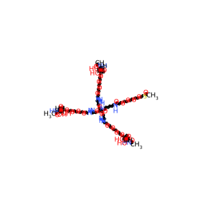 CC(=O)N[C@H]1[C@@H]2OC[C@](COCCOCCOCCOCCn3cc(COCC(COCc4cn(CCOCCOCCOCCOC[C@@]56CO[C@@H](O5)[C@H](NC(C)=O)[C@@H](O)[C@H]6O)nn4)(COCc4cn(CCOCCOCCOCCOC[C@@]56CO[C@@H](O5)[C@H](NC(C)=O)[C@@H](O)[C@H]6O)nn4)NC(=O)CCCCCNC(=O)CCOCCOCCOCCOCCSC(C)=O)nn3)(O2)[C@H](O)[C@@H]1O